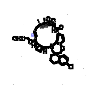 C[C@@H]1[C@@H](C)C/C=C/[C@H](OCC=O)[C@@H]2CC[C@H]2CN2C[C@@]3(CCCc4cc(Cl)ccc43)COc3ccc(cc32)C(=O)NS1(=O)=O